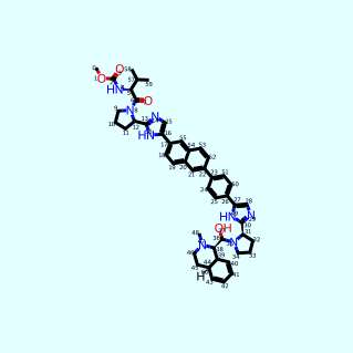 COC(=O)N[C@H](C(=O)N1CCCC1c1ncc(-c2ccc3cc(-c4ccc(-c5cnc([C@H]6CCCN6C(O)[C@H]6C7C=CC=C[C@H]7CCN6C)[nH]5)cc4)ccc3c2)[nH]1)C(C)C